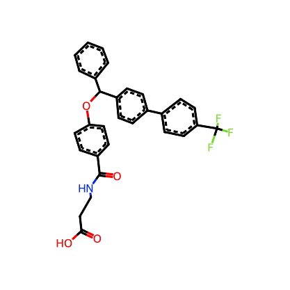 O=C(O)CCNC(=O)c1ccc(OC(c2ccccc2)c2ccc(-c3ccc(C(F)(F)F)cc3)cc2)cc1